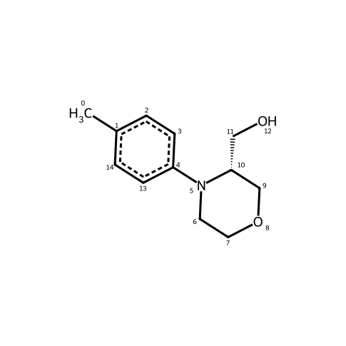 Cc1ccc(N2CCOC[C@H]2CO)cc1